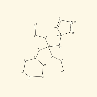 CCCC(CCC)(CC1CCCCC1)Cn1ccnc1